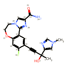 Cn1cnc(C(C)(O)C#Cc2cc3c(cc2F)OCCn2cc(C(N)=O)nc2-3)c1